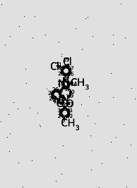 Cc1ccc(S(=O)(=O)N2CCc3c(nn(-c4ccc(Cl)c(Cl)c4)c3C)-c3cccnc32)cc1